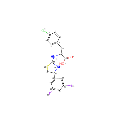 O=C(O)C(Cc1ccc(Cl)cc1)NC1NC(c2cc(I)cc(I)c2)CS1